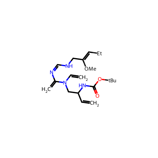 C=CC(CN(C=C)C(=C)/N=C\NC/C(=C/CC)OC)NC(=O)OC(C)(C)C